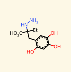 CCC(Cc1cc(O)c(O)cc1O)(NN)C(=O)O